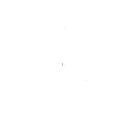 COC(=O)c1ccc2c(-c3ccccc3)cn(CCOCC(=O)O)c2c1